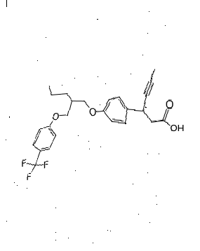 CC#CC(CC(=O)O)c1ccc(OCC(CCC)COc2ccc(C(F)(F)F)cc2)cc1